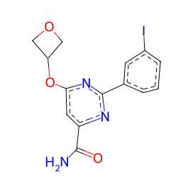 NC(=O)c1cc(OC2COC2)nc(-c2cccc(I)c2)n1